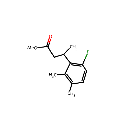 COC(=O)CC(C)c1c(F)ccc(C)c1C